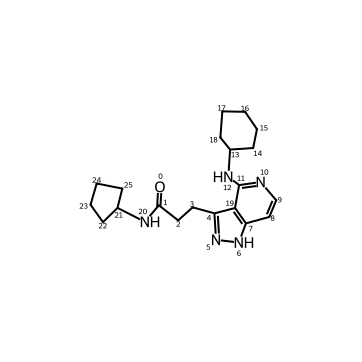 O=C(CCc1n[nH]c2ccnc(NC3CCCCC3)c12)NC1CCCC1